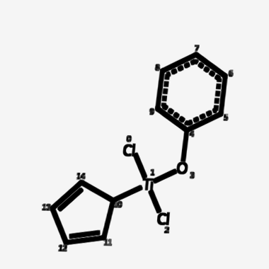 [Cl][Ti]([Cl])([O]c1ccccc1)[CH]1C=CC=C1